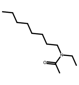 CCCCCCCCN(CC)C(C)=O